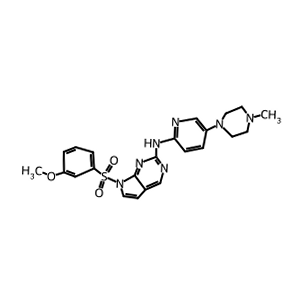 COc1cccc(S(=O)(=O)n2ccc3cnc(Nc4ccc(N5CCN(C)CC5)cn4)nc32)c1